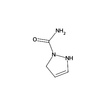 NC(=O)N1CC=CN1